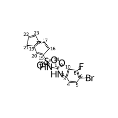 O=C(Nc1ccc(Br)c(F)c1)NS(=O)(=O)c1ccc2c(c1)CC=C2